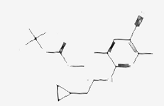 CC(C)(C)OC(=O)NC[C@@H](CC1CC1)Nc1nc(Cl)c(C#N)cc1F